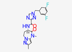 Cc1cc2n(n1)CC[C@H](NC(=O)c1ncn(CC3C=C(F)C=C(F)C3)n1)C(=O)N2C